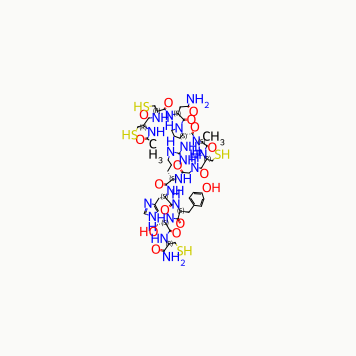 CC(=O)N[C@@H](CS)C(=O)N[C@@H](CS)C(=O)N[C@@H](CC(N)=O)C(=O)N1CCC[C@H]1C(=O)N[C@@H](C)C(=O)N[C@@H](CS)C(=O)NCC(=O)N[C@@H](CCCNC(=N)N)C(=O)N[C@@H](Cc1c[nH]cn1)C(=O)N[C@@H](Cc1ccc(O)cc1)C(=O)N[C@@H](CO)C(=O)N[C@@H](CS)C(N)=O